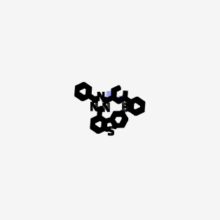 C/C=C(\C=C(/C)c1ccccc1)c1nc(-c2ccccc2)nc(-c2cccc3c2C2C=C(Br)C=CC2S3)n1